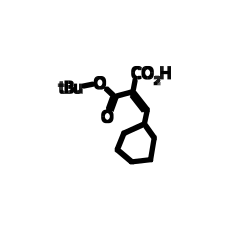 CC(C)(C)OC(=O)/C(=C\C1CCCCC1)C(=O)O